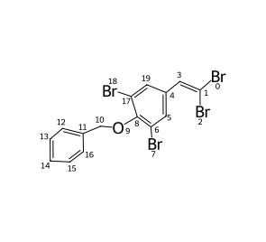 BrC(Br)=Cc1cc(Br)c(OCc2ccccc2)c(Br)c1